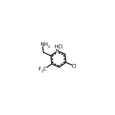 Cl.NCc1ncc(Cl)cc1C(F)(F)F